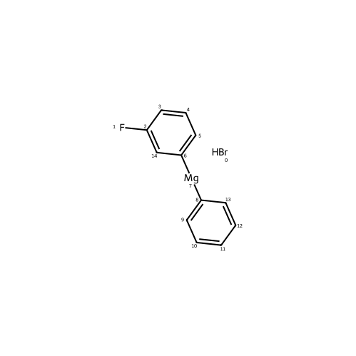 Br.Fc1ccc[c]([Mg][c]2ccccc2)c1